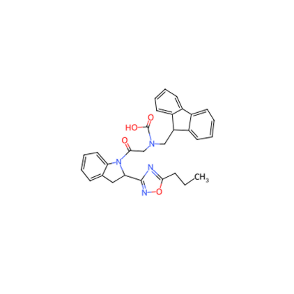 CCCc1nc(C2Cc3ccccc3N2C(=O)CN(CC2c3ccccc3-c3ccccc32)C(=O)O)no1